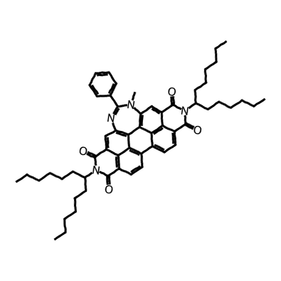 CCCCCCC(CCCCCC)n1c(=O)c2ccc3c4ccc5c(=O)n(C(CCCCCC)CCCCCC)c(=O)c6cc7c(c8c(cc(c1=O)c2c38)nc(-c1ccccc1)n7C)c4c56